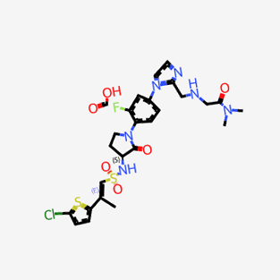 C/C(=C\S(=O)(=O)N[C@H]1CCN(c2ccc(-n3ccnc3CNCC(=O)N(C)C)cc2F)C1=O)c1ccc(Cl)s1.O=CO